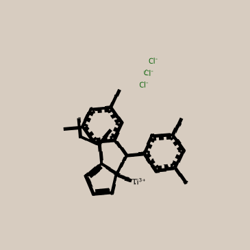 CCC(C)C1=CC=C[C]1([Ti+3])C(c1cc(C)cc(C)c1)c1cc(C)cc(C)c1.[Cl-].[Cl-].[Cl-]